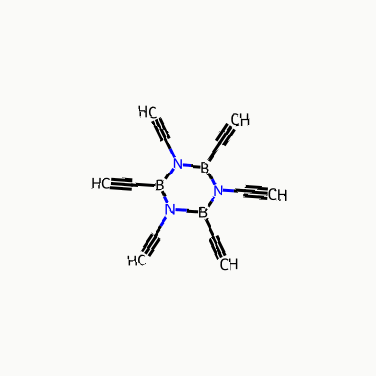 C#CB1N(C#C)B(C#C)N(C#C)B(C#C)N1C#C